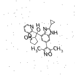 Cc1noc(C)c1-c1cc(C(O)(c2ccccn2)C2CCCS2(=O)=O)c2nc(C3CC3)[nH]c2c1